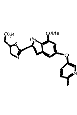 COc1cc(Oc2ccc(C)nc2)cc2cc(C3=NCC(CC(=O)O)S3)[nH]c12